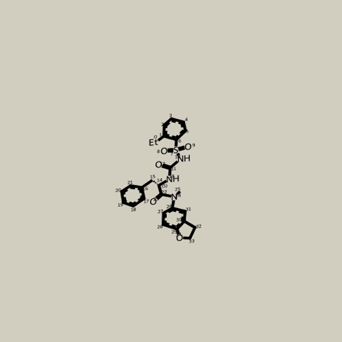 CCc1ccccc1S(=O)(=O)NC(=O)N[C@@H](Cc1ccccc1)C(=O)N(C)c1ccc2c(c1)CCO2